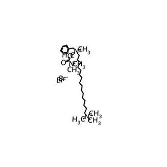 CN(C)C(=O)Oc1ccccc1C[N+](C)(C)CCCCCCCCCCCCCCCC[N+](C)(C)C.[Br-].[Br-]